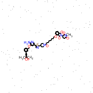 CN1C(=O)CCC(N2C(=O)c3cccc(OCCCCCCCC(=O)N4CCC(c5ncc(-c6cnc(N)c(OCc7cccc(C#CC(C)(C)O)c7)c6)s5)CC4)c3C2=O)C1=O